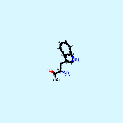 CCC(C)C(=O)[C@H](N)Cc1c[nH]c2ccccc12